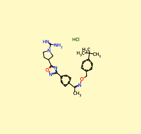 CC(=NOCc1ccc(C(C)(C)C)cc1)c1ccc(-c2noc(C3CCN(C(=N)N)C3)n2)cc1.Cl